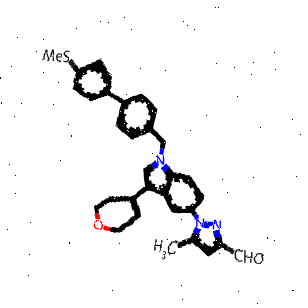 CSc1ccc(-c2ccc(Cn3cc(C4CCOCC4)c4cc(-n5nc(C=O)cc5C)ccc43)cc2)cc1